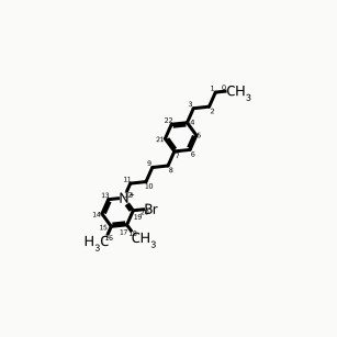 CCCCc1ccc(CCCC[n+]2ccc(C)c(C)c2Br)cc1